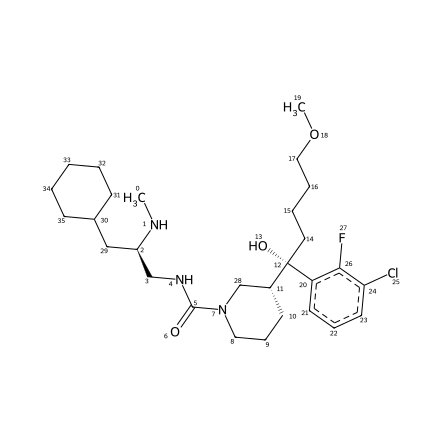 CN[C@@H](CNC(=O)N1CCC[C@@H]([C@@](O)(CCCCOC)c2cccc(Cl)c2F)C1)CC1CCCCC1